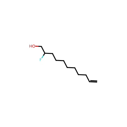 C=CCCCCCCCC(F)CO